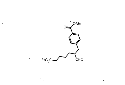 CCOC(=O)CCCCC(C=O)Cc1ccc(C(=O)OC)cc1